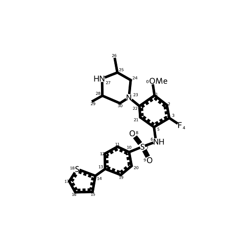 COc1cc(F)c(NS(=O)(=O)c2ccc(-c3cccs3)cc2)cc1N1CC(C)NC(C)C1